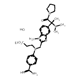 CCOC(=O)CCN(Cc1nc2cc(C(C)(C(=O)N3CCCC3)N(C)C)ccc2n1C)c1ccc(C(=N)N)cc1.Cl